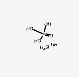 O=P(O)(O)O.[LiH].[SiH4]